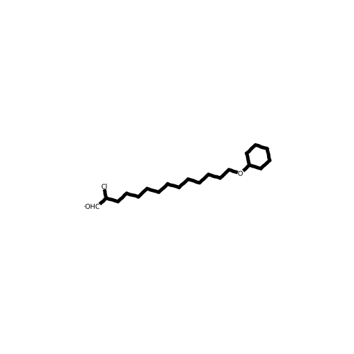 O=[C]C(Cl)CCCCCCCCCCCCOC1CC[CH]CC1